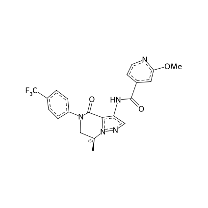 COc1cc(C(=O)Nc2cnn3c2C(=O)N(c2ccc(C(F)(F)F)cc2)C[C@@H]3C)ccn1